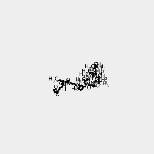 CCCCC[C@H](NC(=O)CCCN1C(=O)C=CC1=O)C(=O)NCCCC(=O)Nc1cc(C[C@@H](CC(C)C(=O)O)NC(=O)c2csc([C@@H](C[C@H](C(C)C)N(C)C(=O)[C@@H](NC(=O)C(C)(C)N(C)C)[C@@H](C)CC)OC(C)=O)n2)ccc1O